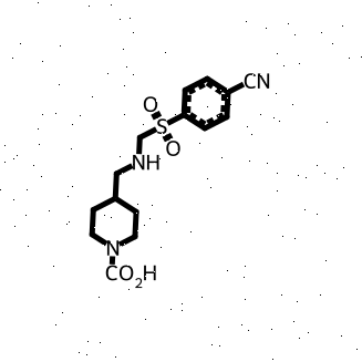 N#Cc1ccc(S(=O)(=O)CNCC2CCN(C(=O)O)CC2)cc1